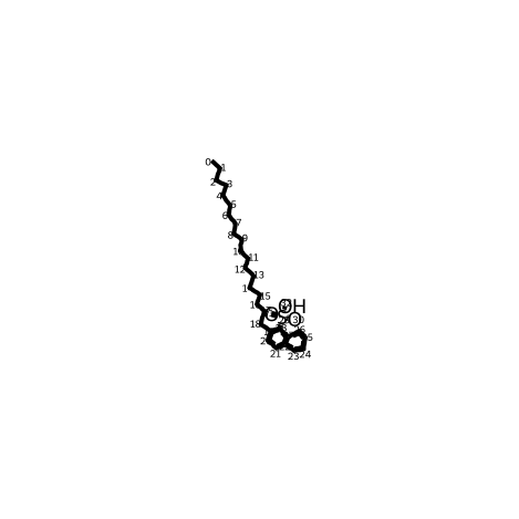 CCCCCCCCCCCCCCCCCCCc1ccc2ccccc2c1S(=O)(=O)O